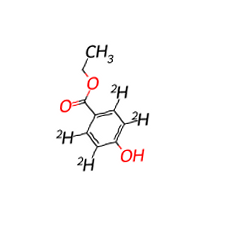 [2H]c1c([2H])c(C(=O)OCC)c([2H])c([2H])c1O